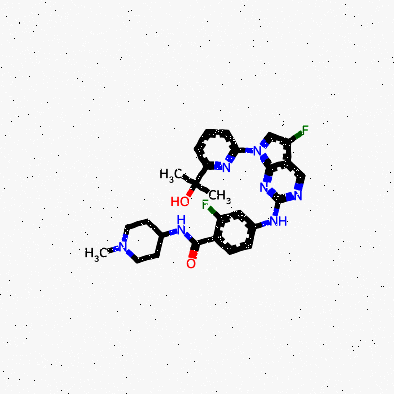 CN1CCC(NC(=O)c2ccc(Nc3ncc4c(F)cn(-c5cccc(C(C)(C)O)n5)c4n3)cc2F)CC1